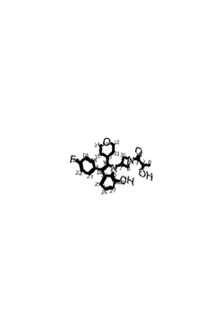 CC(O)C(=O)N1CC(n2c(C3CCOCC3)c(-c3ccc(F)cc3)c3cccc(O)c32)C1